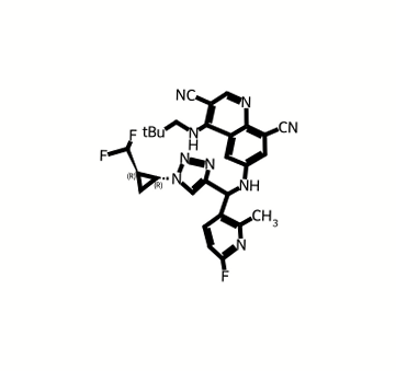 Cc1nc(F)ccc1C(Nc1cc(C#N)c2ncc(C#N)c(NCC(C)(C)C)c2c1)c1cn([C@@H]2C[C@H]2C(F)F)nn1